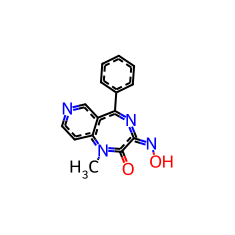 Cn1c(=O)c(=NO)nc(-c2ccccc2)c2cnccc21